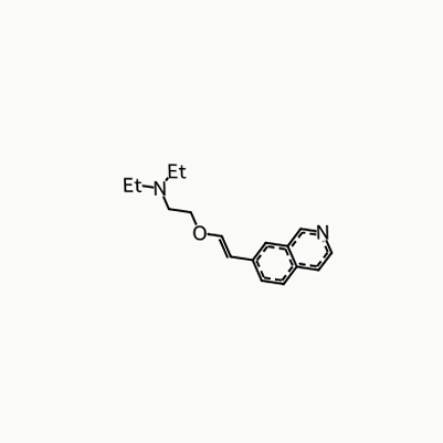 CCN(CC)CCOC=Cc1ccc2ccncc2c1